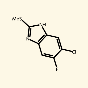 CSc1nc2cc(F)c(Cl)cc2[nH]1